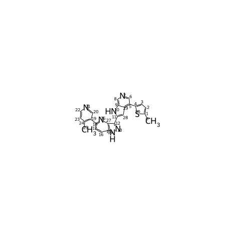 Cc1ccc(-c2cncc3[nH]c(-c4n[nH]c5ccc(-c6cnccc6C)nc45)cc23)s1